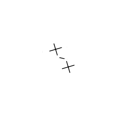 CC(C)(C)BBC(C)(C)C